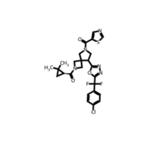 CC1(C)C[C@@H]1C(=O)N1CC2(CN(C(=O)c3cncs3)CC2c2nnc(C(F)(F)c3ccc(Cl)cc3)o2)C1